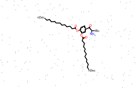 CCCCCCCCCCCCCCCCCCCCCC(=O)Oc1ccc(C(=O)C(N)C(C)(C)C)cc1OC(=O)CCCCCCCCCCCCCCCCCCCCC